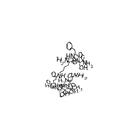 C[C@@H](O)[C@H](NC(=O)[C@@H](N)CC(N)=O)C(=O)C(=O)[C@H](CO)NNC(CCC(=O)NCCCCC(N)C(=O)NC(Cc1ccccc1)C(=O)NC(CO)C(N)=O)C(=O)O